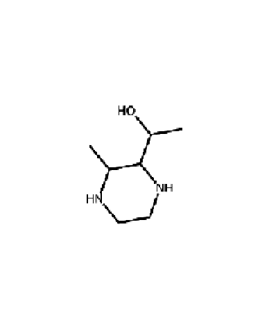 CC(O)C1NCCNC1C